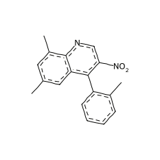 Cc1cc(C)c2ncc([N+](=O)[O-])c(-c3ccccc3C)c2c1